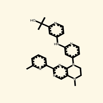 Cc1cccc(-c2ncc3c(n2)N(c2ccnc(Nc4ccnc(C(C)(C)O)c4)c2)CCN3C)n1